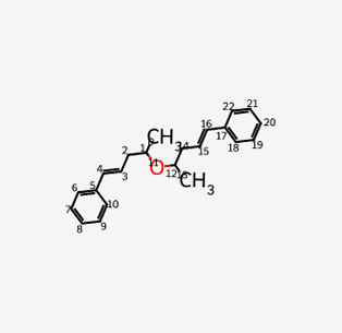 CC(CC=Cc1ccccc1)OC(C)CC=Cc1ccccc1